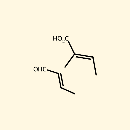 CC=C(C)C(=O)O.CC=CC=O